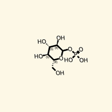 O=P(O)(O)OC1O[C@H](CO)[C@@H](O)[C@H](O)[C@H]1O